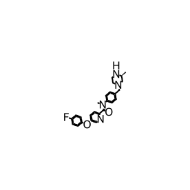 C[C@H]1CN(Cc2ccc(N(C)C(=O)c3ccc(Oc4ccc(F)cc4)cn3)cc2)CCN1